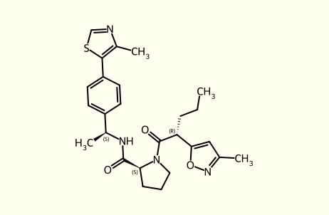 CCC[C@@H](C(=O)N1CCC[C@H]1C(=O)N[C@@H](C)c1ccc(-c2scnc2C)cc1)c1cc(C)no1